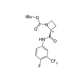 CC(C)(C)OC(=O)N1CC[C@H]1C(=O)Nc1ccc(F)c(C(F)(F)F)c1